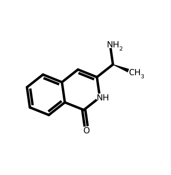 C[C@H](N)c1cc2ccccc2c(=O)[nH]1